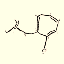 CBCc1ccccc1Cl